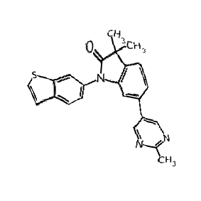 Cc1ncc(-c2ccc3c(c2)N(c2ccc4ccsc4c2)C(=O)C3(C)C)cn1